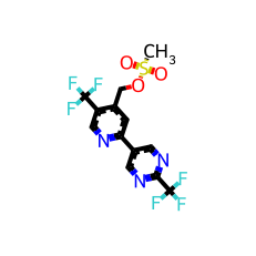 CS(=O)(=O)OCc1cc(-c2cnc(C(F)(F)F)nc2)ncc1C(F)(F)F